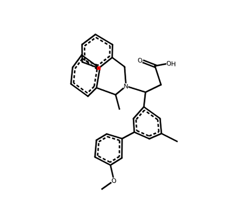 COc1cccc(-c2cc(C)cc(C(CC(=O)O)N(Cc3ccccc3)C(C)c3ccccc3)c2)c1